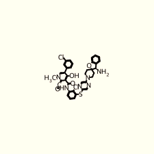 CN1C=C(c2cccc(Cl)c2)C(O)=C(C(=O)Nc2cccc(Sc3cnc(N4CCC5(CC4)Oc4ccccc4[C@H]5N)cn3)c2Cl)C1=C=O